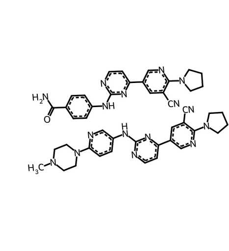 CN1CCN(c2ccc(Nc3nccc(-c4cnc(N5CCCC5)c(C#N)c4)n3)cn2)CC1.N#Cc1cc(-c2ccnc(Nc3ccc(C(N)=O)cc3)n2)cnc1N1CCCC1